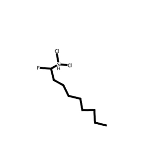 CCCCCCCCC(F)[SiH](Cl)Cl